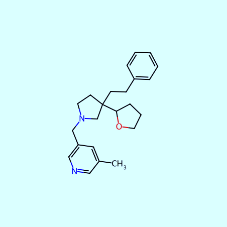 Cc1cncc(CN2CCC(CCc3ccccc3)(C3CCCO3)C2)c1